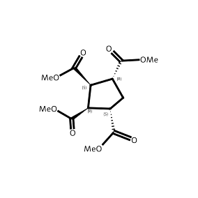 COC(=O)[C@@H]1[C@H](C(=O)OC)[C@@H](C(=O)OC)C[C@H]1C(=O)OC